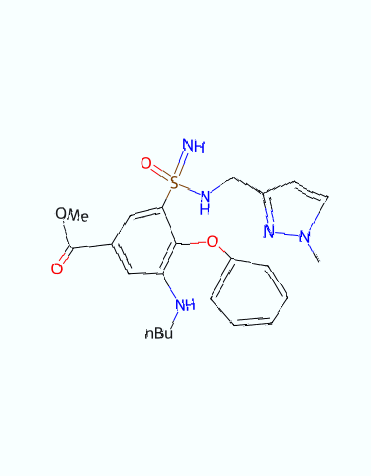 CCCCNc1cc(C(=O)OC)cc(S(=N)(=O)NCc2ccn(C)n2)c1Oc1ccccc1